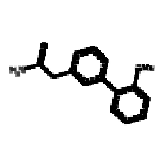 COc1ccccc1-c1cccc(CC(N)=O)c1